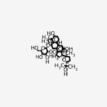 CC(C)(O)[C@H]1CC[C@@](C)([C@H]2CC[C@]3(C)[C@@H]2[C@H](O)C[C@@H]2[C@@]4(C)CC[C@H](O)C(C)(C)[C@@H]4[C@@H](O[C@@H]4O[C@H](CO)[C@@H](O)[C@H](O)[C@H]4O)C[C@]23C)O1